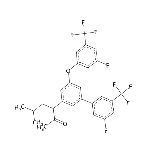 CC(=O)C(CC(C)C)c1cc(Oc2cc(F)cc(C(F)(F)F)c2)cc(-c2cc(F)cc(C(F)(F)F)c2)c1